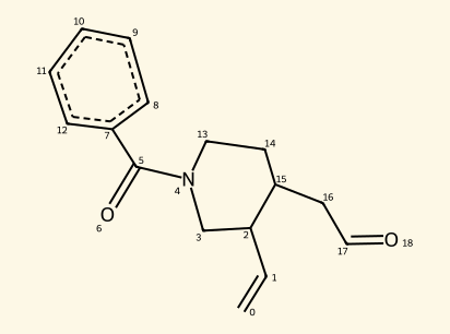 C=CC1CN(C(=O)c2ccccc2)CCC1CC=O